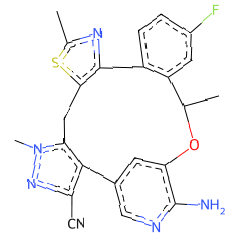 Cc1nc2c(s1)Cc1c(c(C#N)nn1C)-c1cnc(N)c(c1)OC(C)c1cc(F)ccc1-2